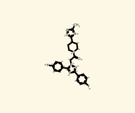 Cc1noc(C2CCN(C(=O)Cn3nc(-c4ccc(F)cc4)nc3-c3ccc(F)cc3)CC2)n1